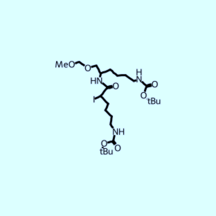 COCOCC(CCCCNC(=O)OC(C)(C)C)NC(=O)C(I)CCCCNC(=O)OC(C)(C)C